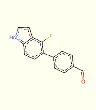 O=Cc1ccc(-c2ccc3[nH]ccc3c2F)cc1